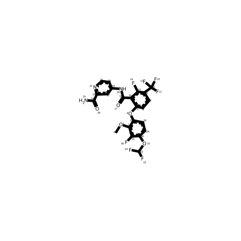 COc1c(Oc2ccc(C(F)(F)F)c(F)c2C(=O)Nc2ccnc(C(N)=O)c2)ccc(OC(F)F)c1F